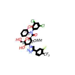 CO[C@@H]1[C@@H](n2cc(-c3ccc(C(F)(F)F)c(F)c3)nn2)[C@@H](O)[C@@H](CO)O[C@H]1C(=O)N(c1cc(Cl)cc(Cl)c1)[C@H]1CCCC[C@@H]1O